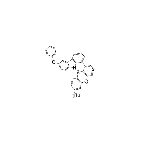 CC(C)(C)c1ccc2c(c1)Oc1cccc3c1B2n1c2ccc(Oc4ccccc4)cc2c2cccc-3c21